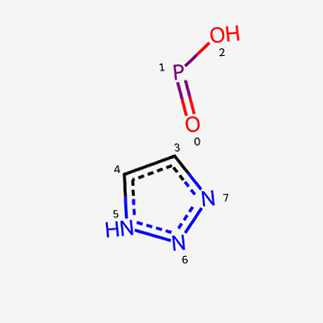 O=PO.c1c[nH]nn1